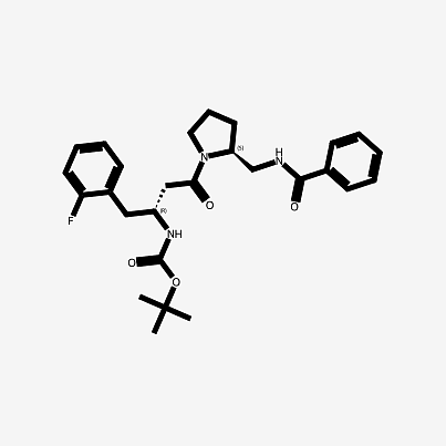 CC(C)(C)OC(=O)N[C@@H](CC(=O)N1CCC[C@H]1CNC(=O)c1ccccc1)Cc1ccccc1F